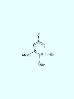 COc1cc(F)cc(Br)c1OC